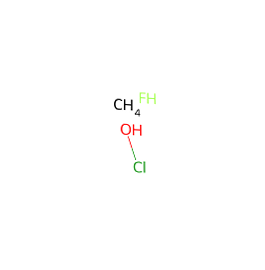 C.F.OCl